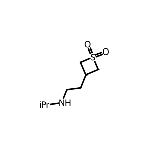 CC(C)NCCC1CS(=O)(=O)C1